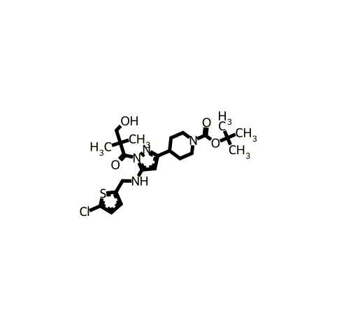 CC(C)(C)OC(=O)N1CCC(c2cc(NCc3ccc(Cl)s3)n(C(=O)C(C)(C)CO)n2)CC1